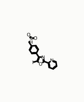 O=[SH](=O)Cc1ccc(-c2nc(-c3ccccn3)oc2I)cc1